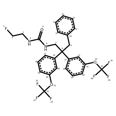 O=C(NCCF)NCC(Cc1ccccc1)(c1cccc(OC(F)(F)F)c1)c1cccc(OC(F)(F)F)c1